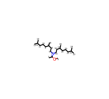 COC(C)N(CCC(C)CCCC(C)C)CCC(C)CCCC(C)C